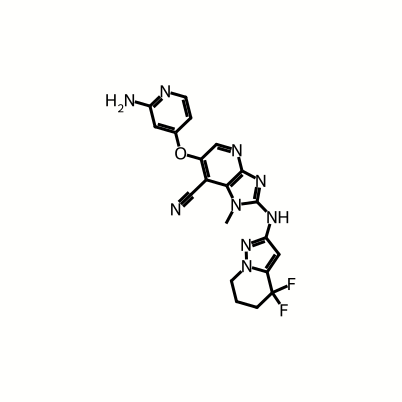 Cn1c(Nc2cc3n(n2)CCCC3(F)F)nc2ncc(Oc3ccnc(N)c3)c(C#N)c21